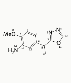 COc1ccc(C(C)c2nnco2)cc1N